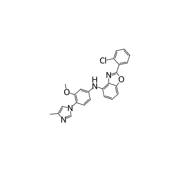 COc1cc(Nc2cccc3oc(-c4ccccc4Cl)nc23)ccc1-n1cnc(C)c1